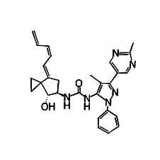 C=C/C=C\C=C1/C[C@@H](NC(=O)Nc2c(C)c(-c3cnc(C)nc3)nn2-c2ccccc2)[C@H](O)C12CC2